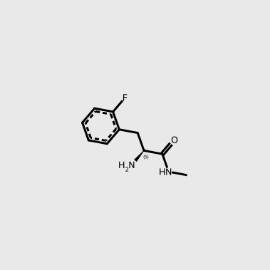 CNC(=O)[C@@H](N)Cc1ccccc1F